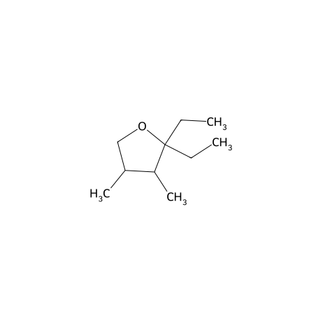 CCC1(CC)OCC(C)C1C